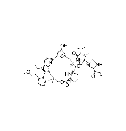 C=CC(=O)C1C[C@@H](C(=O)N(C)C(C(=O)N[C@H]2Cc3cc(O)cc(c3)-c3ccc4c(n3)c(c(-c3ccccc3CCOC)n4CC)CC(C)(C)COC(=O)[C@@H]3CCCN(N3)C2=O)C(C)C)CN1